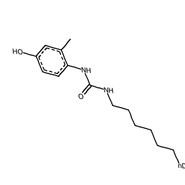 CCCCCCCCCCCCCCCCNC(=O)Nc1ccc(O)cc1C